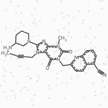 CC#CCn1c(N2CCCC(N)C2)nc2c1c(=O)n(Cc1ccc3c(C#N)cccc3n1)c(=O)n2C